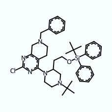 CC(C)(C)N1CCN(c2nc(Cl)nc3c2CCN(Cc2ccccc2)C3)C(CCO[Si](c2ccccc2)(c2ccccc2)C(C)(C)C)C1